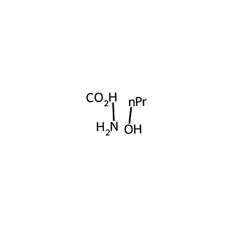 CCCO.NC(=O)O